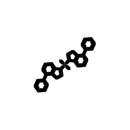 C[Si](C)(C1=CCc2c1cccc2-c1ccccc1)C1=CCc2c1cccc2-c1ccccc1